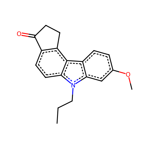 CCCn1c2cc(OC)ccc2c2c3c(ccc21)C(=O)CC3